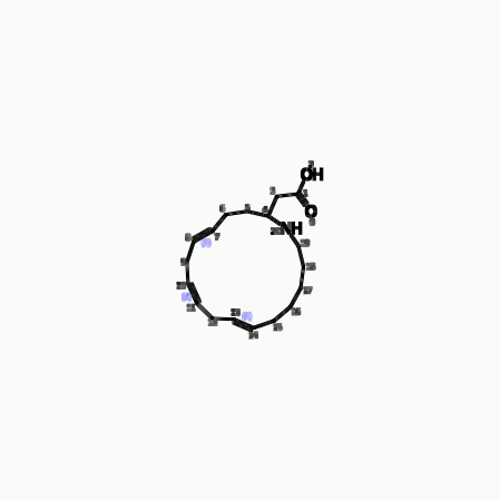 O=C(O)CC1CC/C=C/C/C=C\C/C=C/CCCCCN1